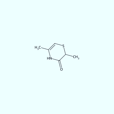 CC1=CSC(C)C(=O)N1